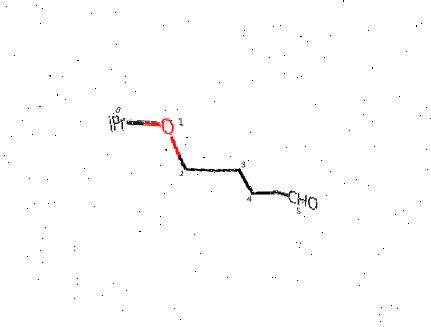 CC(C)OCCCC=O